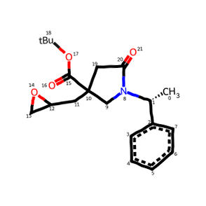 C[C@H](c1ccccc1)N1CC(CC2CO2)(C(=O)OC(C)(C)C)CC1=O